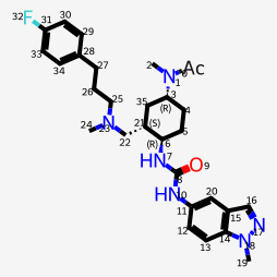 CC(=O)N(C)[C@@H]1CC[C@@H](NC(=O)Nc2ccc3c(cnn3C)c2)[C@H](CN(C)CCCc2ccc(F)cc2)C1